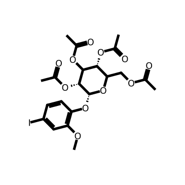 COc1cc(I)ccc1O[C@H]1OC(COC(C)=O)[C@@H](OC(C)=O)C(OC(C)=O)[C@H]1OC(C)=O